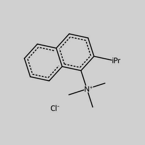 CC(C)c1ccc2ccccc2c1[N+](C)(C)C.[Cl-]